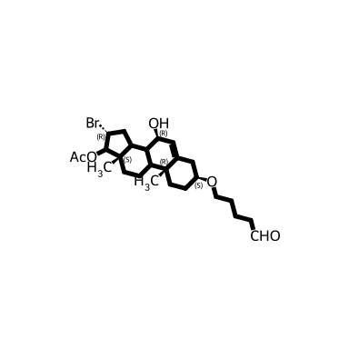 CC(=O)OC1[C@H](Br)CC2C3C(CC[C@@]21C)[C@@]1(C)CC[C@H](OCCCCC=O)CC1=C[C@@H]3O